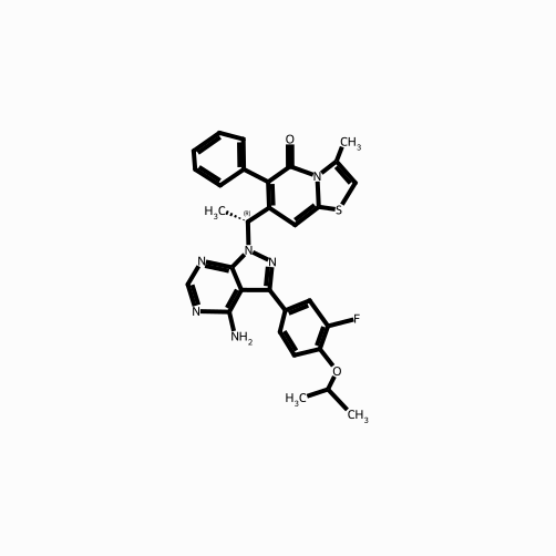 Cc1csc2cc([C@@H](C)n3nc(-c4ccc(OC(C)C)c(F)c4)c4c(N)ncnc43)c(-c3ccccc3)c(=O)n12